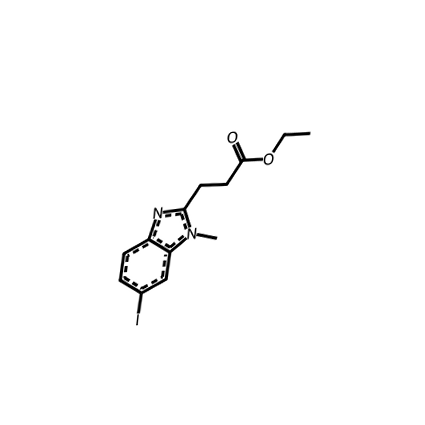 CCOC(=O)CCc1nc2ccc(I)cc2n1C